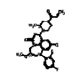 C=CC(=O)N1CCN(c2nc(=O)n3c4c(cc(Cl)cc24)[SH](c2ccc(F)cc2F)C[C@@H](OC)C3)[C@@H](C)C1